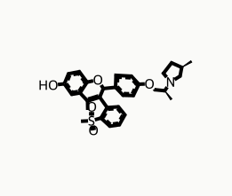 CC1=C(c2ccccc2S(C)(=O)=O)C(c2ccc(OC[C@H](C)N3CC[C@@H](C)C3)cc2)Oc2ccc(O)cc21